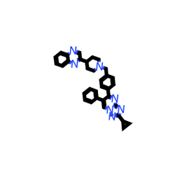 c1ccc(-c2cn3nc(C4CC4)nc3nc2-c2ccc(CN3CCC(c4cnc5ccccc5n4)CC3)cc2)cc1